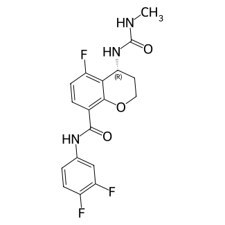 CNC(=O)N[C@@H]1CCOc2c(C(=O)Nc3ccc(F)c(F)c3)ccc(F)c21